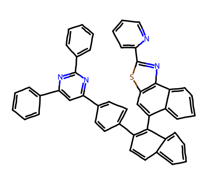 c1ccc(-c2cc(-c3ccc(-c4ccc5ccccc5c4-c4cc5sc(-c6ccccn6)nc5c5ccccc45)cc3)nc(-c3ccccc3)n2)cc1